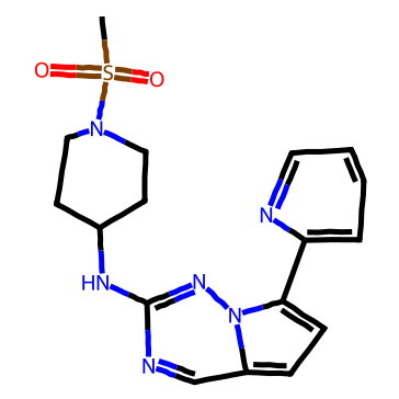 CS(=O)(=O)N1CCC(Nc2ncc3ccc(-c4ccccn4)n3n2)CC1